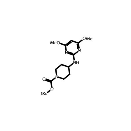 COc1cc(OC)nc(NC2CCN(C(=O)OC(C)(C)C)CC2)n1